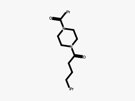 CC(C)CCCC(=O)N1CCN(C(=O)C(C)C)CC1